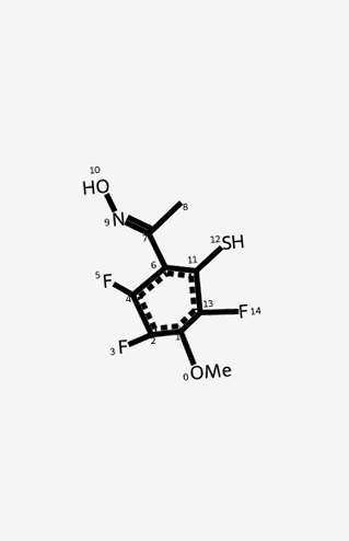 COc1c(F)c(F)c(C(C)=NO)c(S)c1F